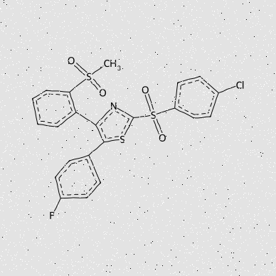 CS(=O)(=O)c1ccccc1-c1nc(S(=O)(=O)c2ccc(Cl)cc2)sc1-c1ccc(F)cc1